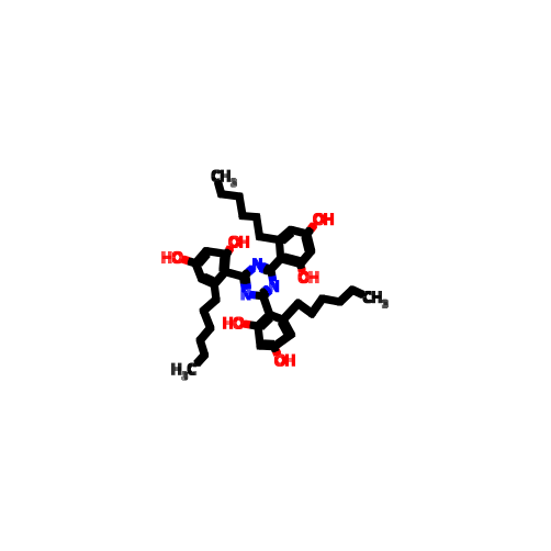 CCCCCCc1cc(O)cc(O)c1-c1nc(-c2c(O)cc(O)cc2CCCCCC)nc(-c2c(O)cc(O)cc2CCCCCC)n1